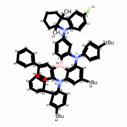 CC(C)(C)c1ccc(N2c3cc(N4c5ccc(F)cc5C5(C)CCCCC45C)ccc3B3c4cc(-c5ccccc5)ccc4N(c4ccc(C(C)(C)C)cc4-c4ccccc4)c4cc(C(C)(C)C)cc2c43)cc1